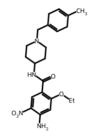 CCOc1cc(N)c([N+](=O)[O-])cc1C(=O)NC1CCN(CC2=CCC(C)=CC2)CC1